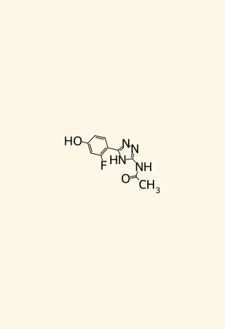 CC(=O)Nc1nnc(-c2ccc(O)cc2F)[nH]1